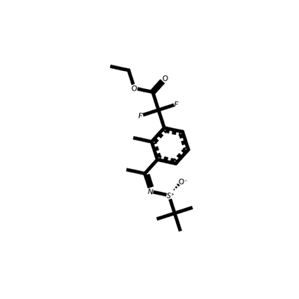 CCOC(=O)C(F)(F)c1cccc(/C(C)=N\[S@+]([O-])C(C)(C)C)c1C